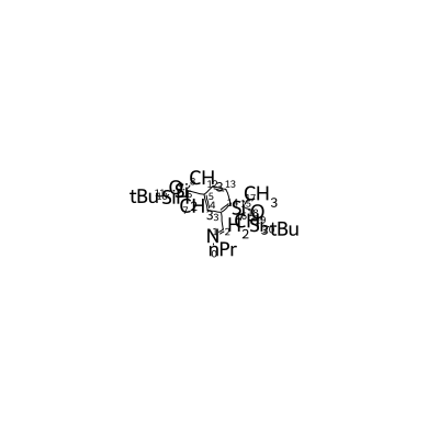 CCCN=Cc1cc([Si](C)(C)O[SiH2]C(C)(C)C)ccc1[Si](C)(C)O[SiH2]C(C)(C)C